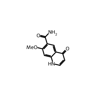 COc1cc2[nH]ccc(=O)c2cc1C(N)=O